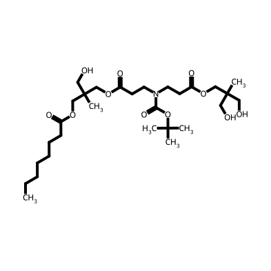 CCCCCCCC(=O)OCC(C)(CO)COC(=O)CCN(CCC(=O)OCC(C)(CO)CO)C(=O)OC(C)(C)C